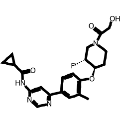 Cc1cc(-c2cc(NC(=O)C3CC3)ncn2)ccc1O[C@@H]1CCN(C(=O)CO)C[C@H]1F